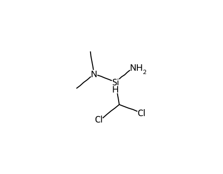 CN(C)[SiH](N)C(Cl)Cl